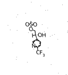 CS(=O)(=O)OC[C@](O)(I)c1ccc(C(F)(F)F)nc1